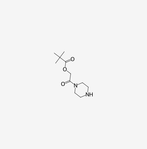 CC(C)(C)C(=O)OCC(=O)N1CCNCC1